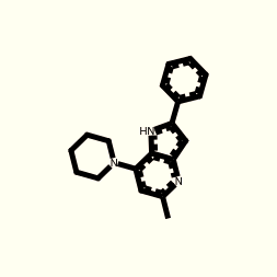 Cc1cc(N2CCCCC2)c2[nH]c(-c3ccccc3)cc2n1